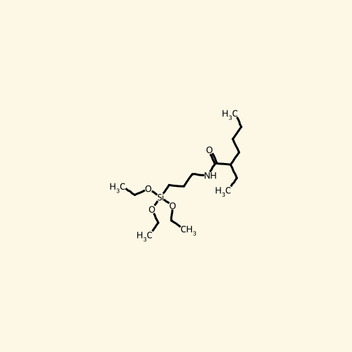 CCCCC(CC)C(=O)NCCC[Si](OCC)(OCC)OCC